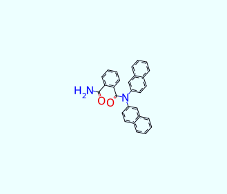 NC(=O)c1ccccc1C(=O)N(c1ccc2ccccc2c1)c1ccc2ccccc2c1